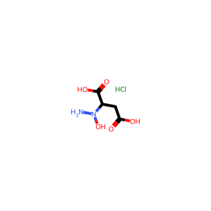 Cl.NN(O)C(CC(=O)O)C(=O)O